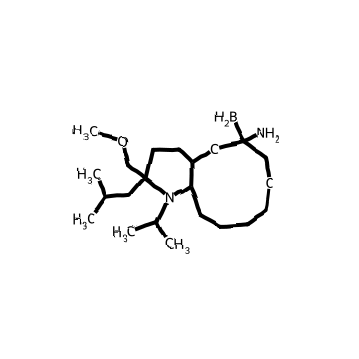 BC1(N)CCCCCCC2C(CCC(COC)(CC(C)C)N2C(C)C)C1